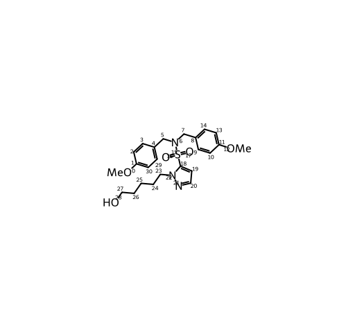 COc1ccc(CN(Cc2ccc(OC)cc2)S(=O)(=O)c2ccnn2CCCCCO)cc1